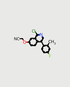 Cc1cc(F)ccc1-c1cnc(Cl)c2cc(OCC#N)ccc12